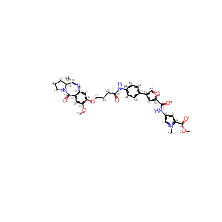 COC(=O)c1cc(NC(=O)c2cc(-c3ccc(NC(=O)CCCOc4cc5c(cc4OC)C(=O)N4CCC[C@H]4C=N5)cc3)co2)cn1C